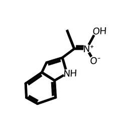 C/C(c1cc2ccccc2[nH]1)=[N+](/[O-])O